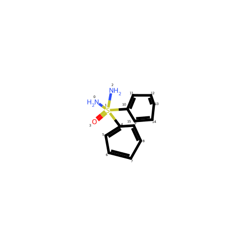 NS(N)(=O)(c1ccccc1)c1ccccc1